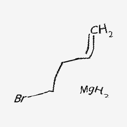 C=CCCBr.[MgH2]